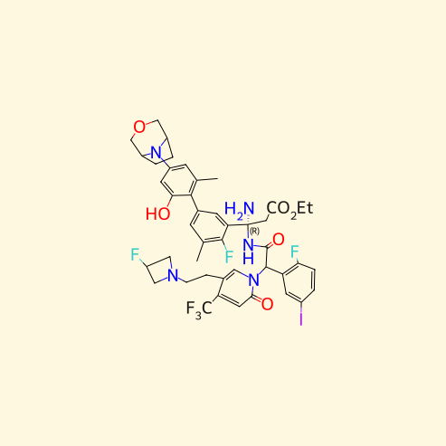 CCOC(=O)C[C@@](N)(NC(=O)C(c1cc(I)ccc1F)n1cc(CCN2CC(F)C2)c(C(F)(F)F)cc1=O)c1cc(-c2c(C)cc(N3C4CCC3COC4)cc2O)cc(C)c1F